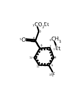 CCC.CCOC(=O)CC(=O)c1ccc(F)cc1